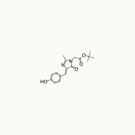 CC1=N/C(=C\c2ccc(O)cc2)C(=O)N1CC(=O)OC(C)(C)C